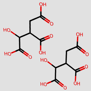 O=C(O)CC(C(=O)O)C(O)C(=O)O.O=C(O)CC(C(=O)O)C(O)C(=O)O